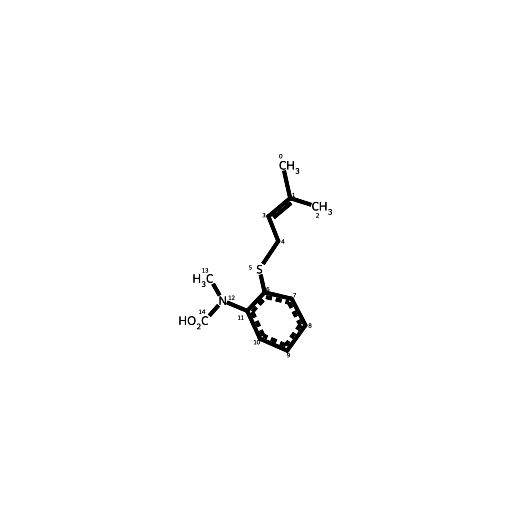 CC(C)=CCSc1ccccc1N(C)C(=O)O